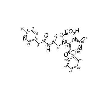 Cc1ccc(CC(=O)N[C@H]2C[C@@H](C(=O)O)N(c3nc(C)nc4c3oc3ccccc34)C2)cn1